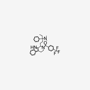 CCC(CCC1c2[nH]c3ccccc3c2CCN1C(=O)c1ccc(C(F)(F)F)cc1)(c1ccccc1)N(C)C